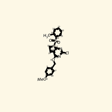 COc1ccc(COc2nc(Cl)nc3c2ccn3S(=O)(=O)c2ccccc2C)cc1